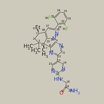 CC[C@@H]1CC(C)(C)[C@@](C)(c2cncc(-c3cnc(NCC(N)=O)nc3)n2)c2nnc(-c3c(F)cccc3F)cc21